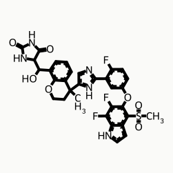 CC1(c2cnc(-c3cc(Oc4c(F)c(F)c5[nH]ccc5c4S(C)(=O)=O)ccc3F)[nH]2)CCOc2c(C(O)C3NC(=O)NC3=O)cccc21